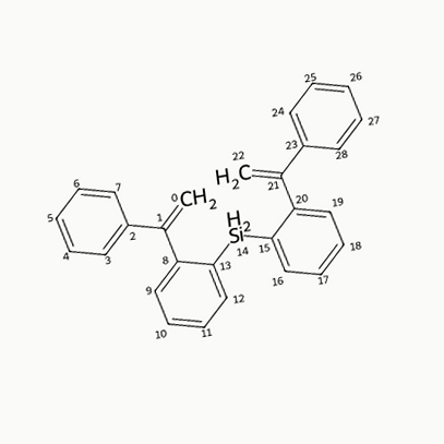 C=C(c1ccccc1)c1ccccc1[SiH2]c1ccccc1C(=C)c1ccccc1